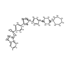 O=C(On1nnc2ccccc21)c1ccc(-c2nnc(-c3ccc(N4CCN(C5CCCCCC5)CC4)cc3)s2)cc1